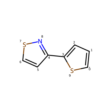 [c]1ccc(-c2ccsn2)s1